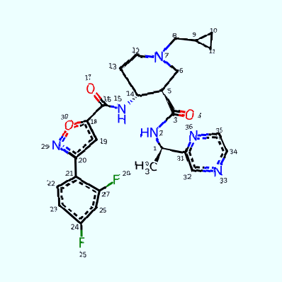 C[C@@H](NC(=O)[C@@H]1CN(CC2CC2)CC[C@H]1NC(=O)c1cc(-c2ccc(F)cc2F)no1)c1cnccn1